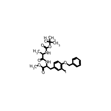 COC(=O)C(Cc1ccc(OCc2ccccc2)c(I)c1)NC(=O)C(C)NC(=O)OC(C)(C)C